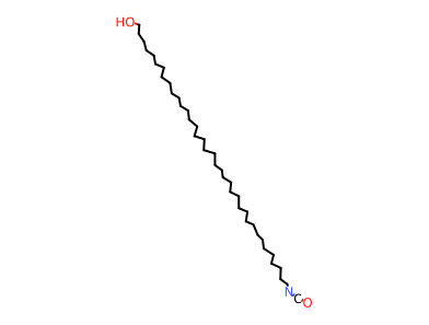 O=C=NCCCCCCCCCCCCCCCCCCCCCCCCCCCCCCCCCCCCCO